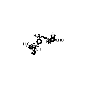 Cc1ccc([C@](O)(C(=O)O[C@H]2CC[C@H](N(C)CCCn3nnc4cc(C=O)c5c(c43)COC5)CC2)c2cccs2)s1